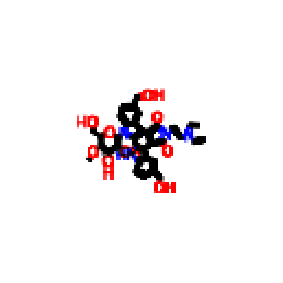 CCN(CC)CCN1C(=O)c2c(c3c4cc(CO)ccc4n([C@@H]4O[C@H](CO)[C@@H](OC)[C@H](O)[C@H]4O)c3c3[nH]c4ccc(CO)cc4c23)C1=O